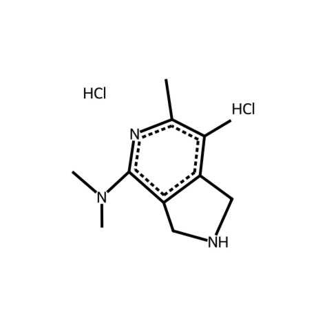 Cc1nc(N(C)C)c2c(c1C)CNC2.Cl.Cl